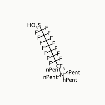 CCCCC[N+](CCCCC)(CCCCC)CCCCC.O=S(=O)(O)C(F)(F)C(F)(F)C(F)(F)C(F)(F)C(F)(F)C(F)(F)C(F)(F)C(F)(F)F